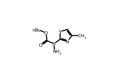 CCCCOC(=O)N(N)c1nc(C)cs1